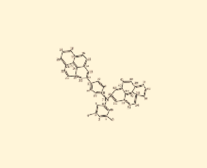 Cc1cc(C)cc(N(c2ccc(-c3cc4ccc5cccc6ccc(c3)c4c56)cc2)c2cc3ccc4cccc5ccc(c2)c3c45)c1